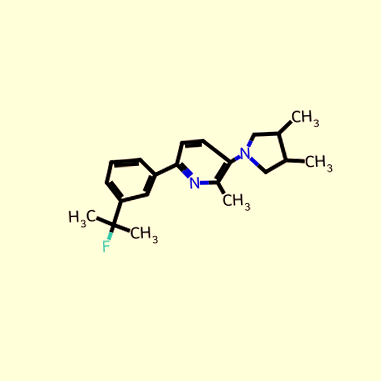 Cc1nc(-c2cccc(C(C)(C)F)c2)ccc1N1CC(C)C(C)C1